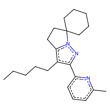 CCCCCc1c(-c2cccc(C)n2)nn2c1CCC21CCCCC1